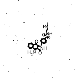 NC1=C2C(=O)NC(c3ccc(S(=O)(=O)NCCN(I)I)cc3)=C2C(=O)c2ccccc21